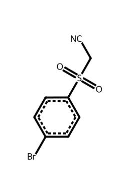 N#CCS(=O)(=O)c1ccc(Br)cc1